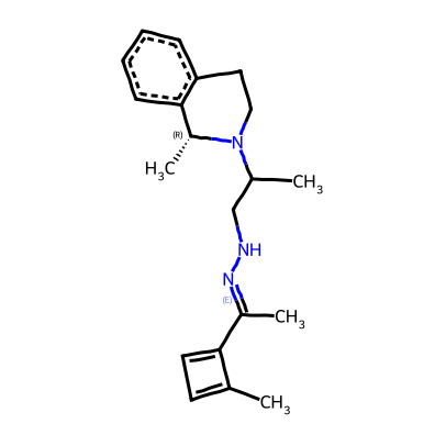 CC1=CC=C1/C(C)=N/NCC(C)N1CCc2ccccc2[C@H]1C